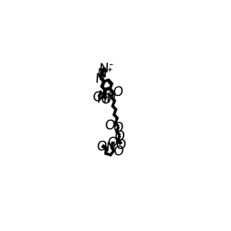 [N-]=[N+]=Nc1ccc(C(=O)NCCCCCC(=O)OCOC(=O)ON2C(=O)CCC2=O)c([N+](=O)[O-])c1